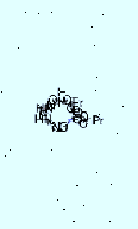 CCCC(=O)O[C@H]1OC[C@@]2(/C=C/c3ccc4ccc(nc4c3)[C@@H](C)NC(=O)[C@@H]3CCCN(N3)C(=O)[C@H](C)NC(=O)C(C(C)C)OC2=O)CO1